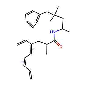 C=C/C=C\C=C(/C=C)CC(C)C(=O)NC(C)CC(C)(C)Cc1ccccc1